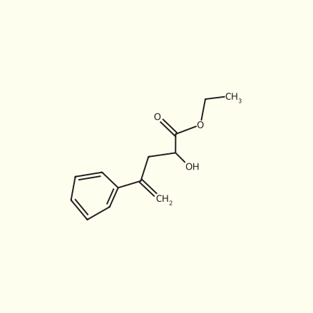 C=C(CC(O)C(=O)OCC)c1ccccc1